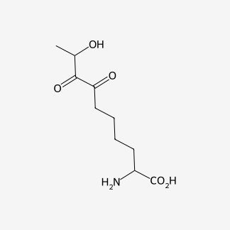 CC(O)C(=O)C(=O)CCCCC(N)C(=O)O